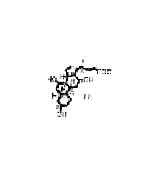 C[C@H](CCC(=O)[O-])[C@H]1CC[C@H]2[C@@H]3[C@H](O)C[C@@H]4C[C@H](O)CC[C@]4(C)[C@H]3C[C@H](O)[C@]12C.[Li+]